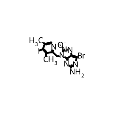 Cc1c[n+]([O-])c(Cn2nnc3c(Br)nc(N)nc32)c(C)c1I